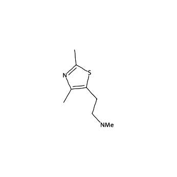 CNCCc1sc(C)nc1C